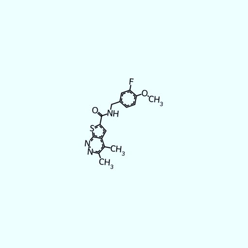 COc1ccc(CNC(=O)c2cc3c(C)c(C)nnc3s2)cc1F